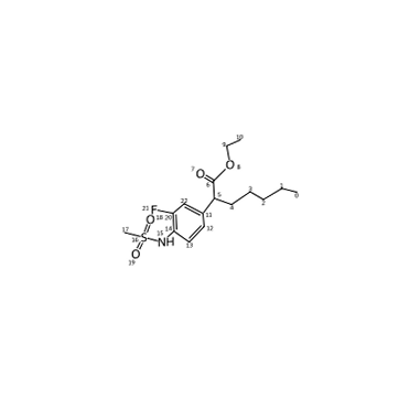 CCCCCC(C(=O)OCC)c1ccc(NS(C)(=O)=O)c(F)c1